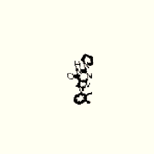 Cc1cccc(-n2cc3c(=O)[nH]c(N4CCCC4)nc3n2)c1C